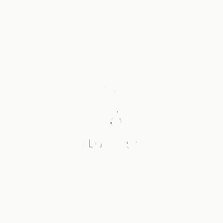 CC(C)=O.[O]=[InH]